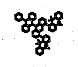 CN1c2ccccc2C(C)(C)c2c(-c3cccc4c(-c5c6ccccc6c(-c6ccccc6)c6ccccc56)c5cccc(-c6cccc7c6C(C)(C)c6ccccc6N7C)c5cc34)cccc21